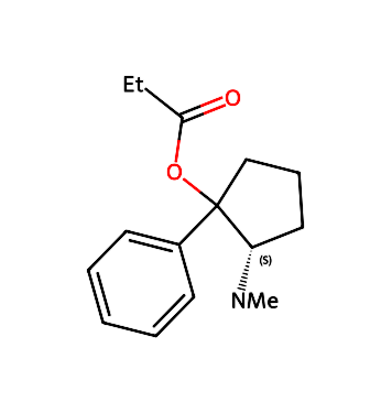 CCC(=O)OC1(c2ccccc2)CCC[C@@H]1NC